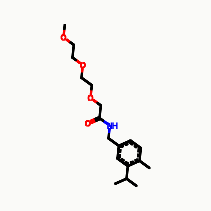 COCCOCCOCC(=O)NCc1ccc(C)c(C(C)C)c1